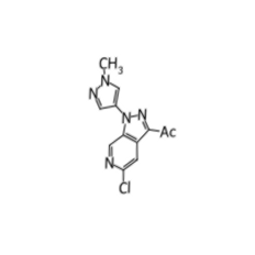 CC(=O)c1nn(-c2cnn(C)c2)c2cnc(Cl)cc12